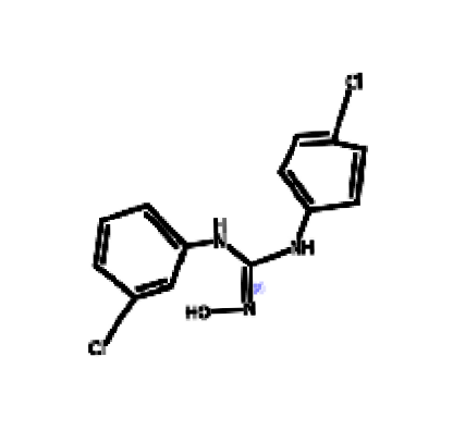 O/N=C(/Nc1ccc(Cl)cc1)Nc1cccc(Cl)c1